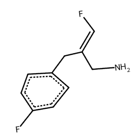 NC/C(=C/F)Cc1ccc(F)cc1